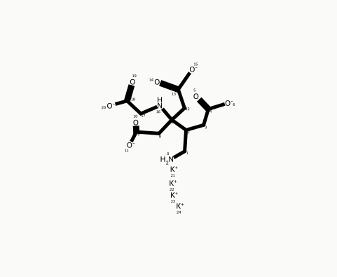 NCC(CC(=O)[O-])C(CC(=O)[O-])(CC(=O)[O-])NCC(=O)[O-].[K+].[K+].[K+].[K+]